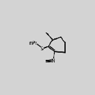 C=NC1=C(SCCC)C(C)CCC1